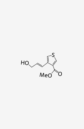 COC(=O)c1cscc1C=CCO